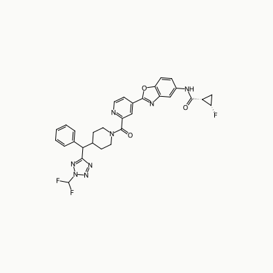 O=C(Nc1ccc2oc(-c3ccnc(C(=O)N4CCC(C(c5ccccc5)c5nnn(C(F)F)n5)CC4)c3)nc2c1)[C@@H]1C[C@@H]1F